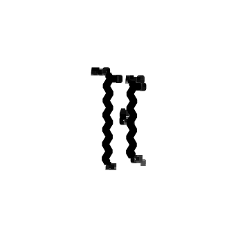 C=CCCCCCCCCC(=O)OC.CC(C)=O.COC(=O)CCCCCCCCCCCC(C)=O